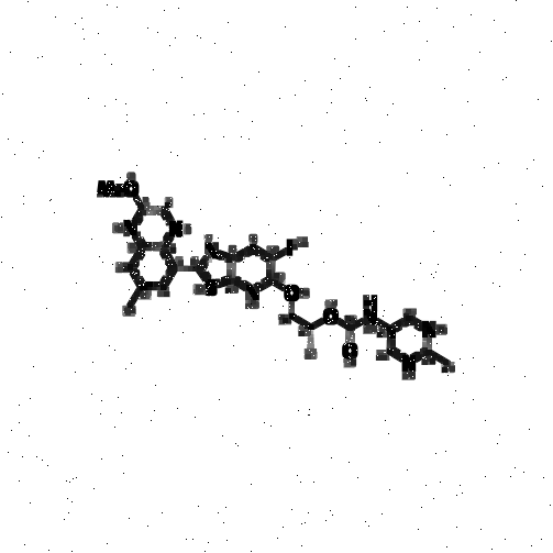 COc1cnc2c(-c3nc4cc(F)c(OC[C@@H](C)OC(=O)Nc5cnc(C)nc5)nc4s3)cc(C)cc2n1